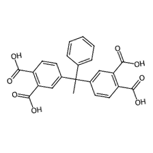 CC(c1ccccc1)(c1ccc(C(=O)O)c(C(=O)O)c1)c1ccc(C(=O)O)c(C(=O)O)c1